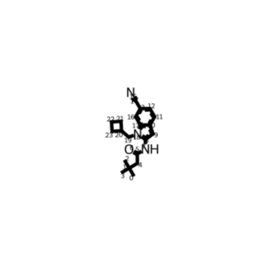 CC(C)(C)CC(=O)Nc1cc2ccc(C#N)cc2n1CC1CCC1